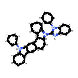 c1ccc(-n2c(-n3c4ccccc4c4c5cc6c(cc5ccc43)c3ccccc3n6-c3ccccc3)nc3ccccc32)cc1